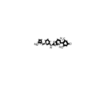 Cc1cc(Cl)cc(O)c1-c1ccc2oc(N[C@@H]3CCCN(C[C@@H]4CC[C@H]4O)C3)nc2n1